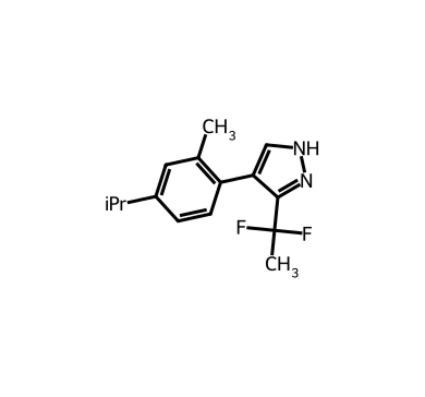 Cc1cc(C(C)C)ccc1-c1c[nH]nc1C(C)(F)F